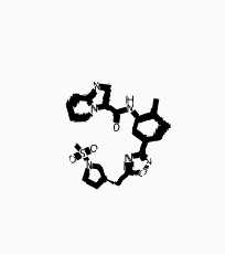 Cc1ccc(-c2noc(C[C@H]3CCN(S(C)(=O)=O)C3)n2)cc1NC(=O)c1cnc2ccccn12